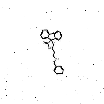 NC(=O)C1(CCCCNCc2ccccc2)c2ccccc2-c2ccccc21